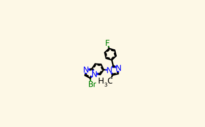 Cc1cnc(-c2ccc(F)cc2)n1-c1ccc2ncc(Br)n2c1